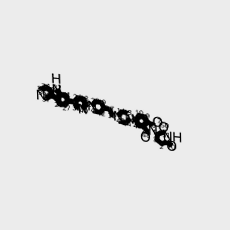 O=C1CCC(N2C(=O)c3ccc(N4CCN(CCC5CCN(c6ccc(-c7ccc8c(c7)[nH]c7ccncc78)cn6)CC5)CC4)cc3C2=O)C(=O)N1